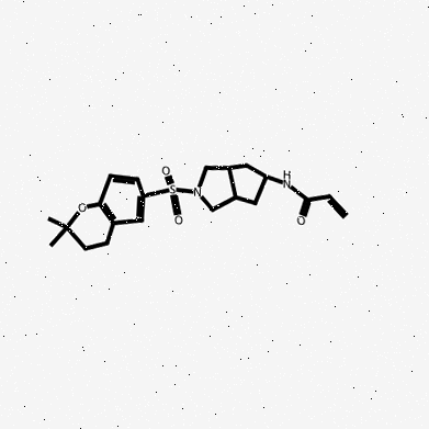 C=CC(=O)NC1CC2CN(S(=O)(=O)c3ccc4c(c3)CCC(C)(C)O4)CC2C1